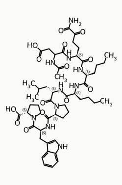 CCCC[C@H](NC(=O)[C@H](CCC(=O)C(N)=O)NC(=O)C(CC(=O)O)NC(C)=O)C(=O)N[C@@H](CCCC)C(=O)N[C@@H](CC(C)C)C(=O)N1CCC[C@H]1C(=O)N[C@@H](Cc1c[nH]c2ccccc12)C(=O)N1CCC[C@H]1C(=O)O